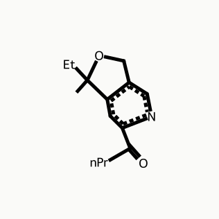 CCCC(=O)c1cc2c(cn1)COC2(C)CC